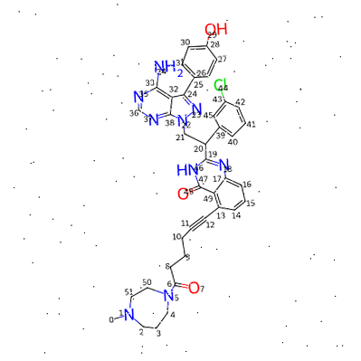 CN1CCCN(C(=O)CCCC#Cc2cccc3nc(C(Cn4nc(-c5ccc(O)cc5)c5c(N)ncnc54)c4cccc(Cl)c4)[nH]c(=O)c23)CC1